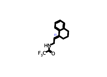 O=C(NC/C=C1\CCCc2ccccc21)C(F)(F)F